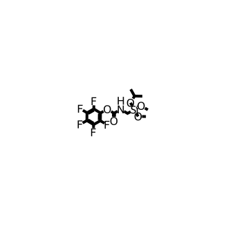 CO[Si](CNC(=O)Oc1c(F)c(F)c(F)c(F)c1F)(OC)OC(C)C